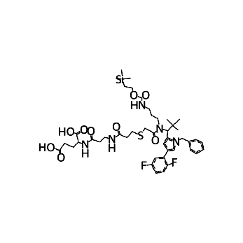 CC(C)(C)C(c1cc(-c2cc(F)ccc2F)cn1Cc1ccccc1)N(CCCNC(=O)OCC[Si](C)(C)C)C(=O)CSCCC(=O)NCCC(=O)NC(CCC(=O)O)C(=O)O